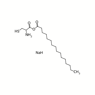 CCCCCCCCCCCCCCCC(=O)OC(=O)C(N)CS.[NaH]